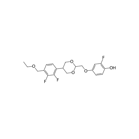 CCOCc1ccc(C2COC(COc3ccc(O)c(F)c3)OC2)c(F)c1F